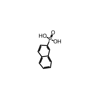 O=P(O)(O)c1ccc2ccccc2c1